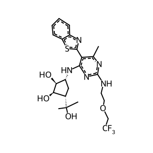 Cc1nc(NCCOCC(F)(F)F)nc(N[C@@H]2C[C@H](C(C)(C)O)[C@@H](O)[C@H]2O)c1-c1nc2ccccc2s1